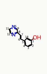 Oc1cccc(/C=C/c2cnccn2)c1